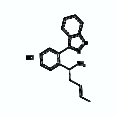 CC=CCC(N)c1ccccc1-c1noc2ccccc12.Cl